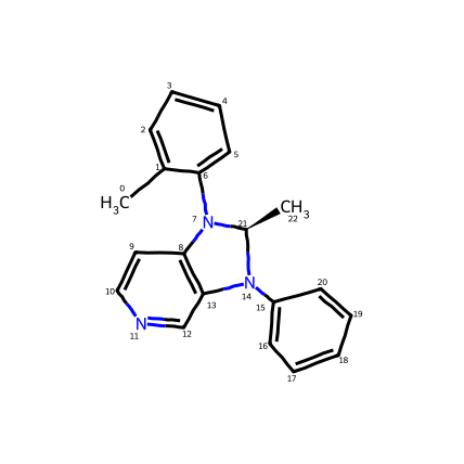 Cc1ccccc1N1c2ccncc2N(c2ccccc2)[C@@H]1C